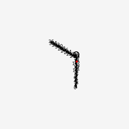 CCCCCCCCCCCCCCCCCCC1OC1CCCCCCCCCCCCCCCC